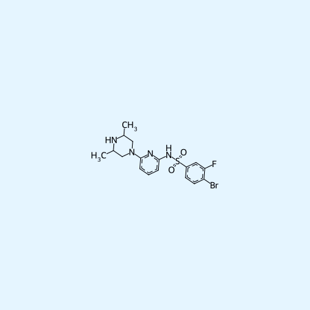 CC1CN(c2cccc(NS(=O)(=O)c3ccc(Br)c(F)c3)n2)CC(C)N1